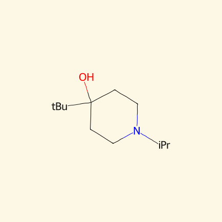 CC(C)N1CCC(O)(C(C)(C)C)CC1